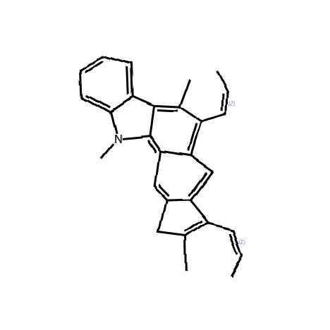 C/C=C\C1=C(C)Cc2cc3c(cc21)c(/C=C\C)c(C)c1c2ccccc2n(C)c31